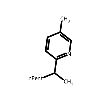 CCCCCC(C)c1ccc(C)cn1